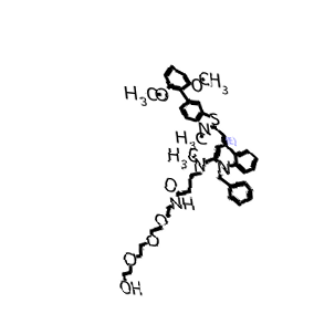 COc1cccc(OC)c1-c1ccc2c(c1)sc(/C=C1\C=C(N(C)CCCC(=O)NCCOCCOCCOCCO)N(Cc3ccccc3)c3ccccc31)[n+]2C